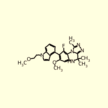 COCCn1ccc2c(-c3c(OC)cc4c(c3F)-n3c(C)nnc3C(C)(C)N4)cccc21